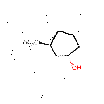 O=C(O)[C@H]1CCC[C@H](O)C1